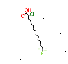 O=C(O)C(Cl)CCCCCCCCCCCCC(F)(F)F